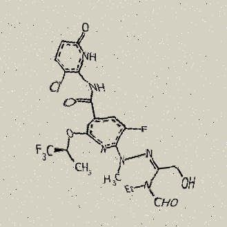 CCN(C=O)/C(CO)=N\N(C)c1nc(O[C@@H](C)C(F)(F)F)c(C(=O)Nc2[nH]c(=O)ccc2Cl)cc1F